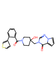 O=C(c1ccccc1-c1ccsc1)N1CCC(O)(Cn2cnn3cccc3c2=O)CC1